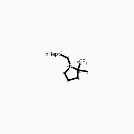 CCCCCCCCN1CCCC1(C)C(F)(F)F